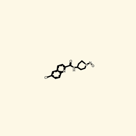 O=NN1CCC(NC(=O)c2ccc3cc(Cl)ccc3n2)CC1